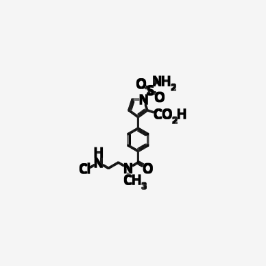 CN(CCNCl)C(=O)c1ccc(-c2ccn(S(N)(=O)=O)c2C(=O)O)cc1